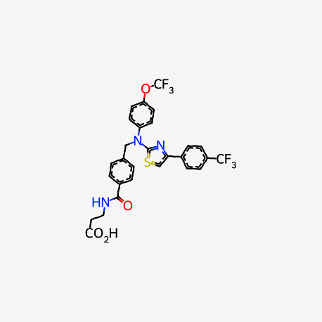 O=C(O)CCNC(=O)c1ccc(CN(c2ccc(OC(F)(F)F)cc2)c2nc(-c3ccc(C(F)(F)F)cc3)cs2)cc1